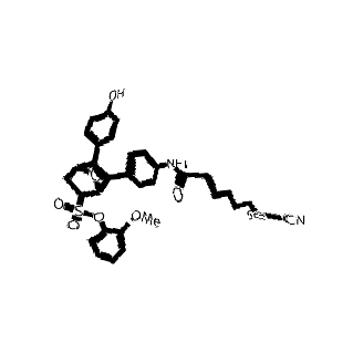 COc1ccccc1OS(=O)(=O)C1CC2OC1C(c1ccc(NC(=O)CCCCC[Se]C#N)cc1)=C2c1ccc(O)cc1